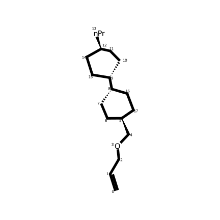 C=CCOC[C@H]1CC[C@H]([C@H]2CC[C@H](CCC)CC2)CC1